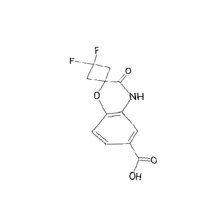 O=C(O)c1ccc2c(c1)NC(=O)C1(CC(F)(F)C1)O2